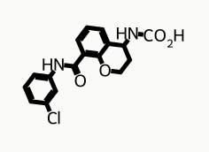 O=C(O)NC1CCOc2c(C(=O)Nc3cccc(Cl)c3)cccc21